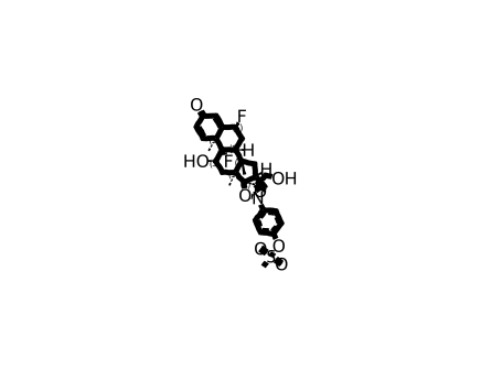 C[C@]12C[C@H](O)[C@@]3(F)[C@@H](C[C@H](F)C4=CC(=O)C=C[C@@]43C)[C@]1(C)C[C@H]1CN(c3ccc(OS(C)(=O)=O)cc3)O[C@]12C(=O)CO